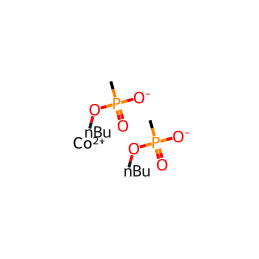 CCCCOP(C)(=O)[O-].CCCCOP(C)(=O)[O-].[Co+2]